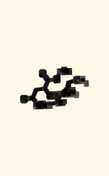 C=CC.CCCCCCC[CH2][Sn][CH2]CCCCCCC.CCCCOC(=O)C(O)CC(=O)S